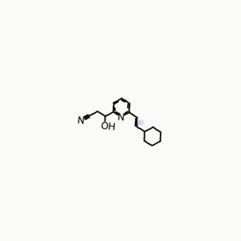 N#CCC(O)c1cccc(/C=C/C2CCCCC2)n1